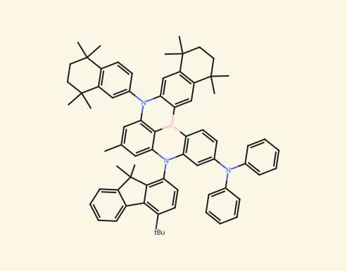 Cc1cc2c3c(c1)N(c1ccc(C(C)(C)C)c4c1C(C)(C)c1ccccc1-4)c1cc(N(c4ccccc4)c4ccccc4)ccc1B3c1cc3c(cc1N2c1ccc2c(c1)C(C)(C)CCC2(C)C)C(C)(C)CCC3(C)C